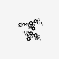 Cn1cc(-c2ccc(N)c([N+](=O)[O-])c2Oc2ccccc2)ccc1=O.Cn1cc(-c2ccc(NCCCN3CCOCC3)c([N+](=O)[O-])c2Oc2ccccc2)ccc1=O